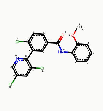 COc1ccccc1NC(=O)c1ccc(Cl)c(-c2ncc(Cl)cc2Cl)c1